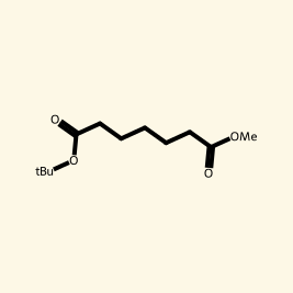 COC(=O)CCCCCC(=O)OC(C)(C)C